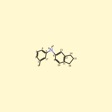 Cc1cccc(N(C)c2ccc3c(c2)CCC3)c1